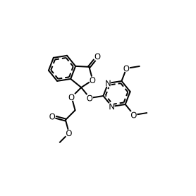 COC(=O)COC1(Oc2nc(OC)cc(OC)n2)OC(=O)c2ccccc21